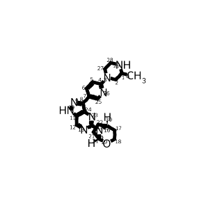 CC1CN(c2ccc(-c3n[nH]c4cnc(N5[C@@H]6CCO[C@@H]5CC6)nc34)cn2)CCN1